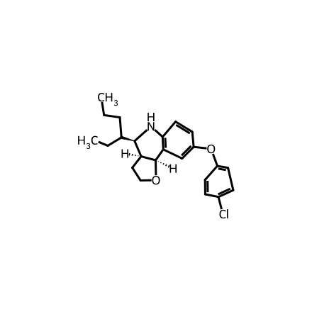 CCCC(CC)[C@H]1Nc2ccc(Oc3ccc(Cl)cc3)cc2[C@H]2OCC[C@H]21